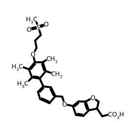 Cc1c(C)c(-c2cccc(COc3ccc4c(c3)OCC4CC(=O)O)c2)c(C)c(C)c1OCCCS(C)(=O)=O